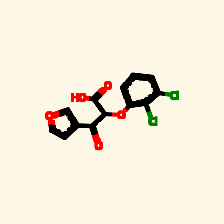 O=C(O)C(Oc1cccc(Cl)c1Cl)C(=O)c1ccoc1